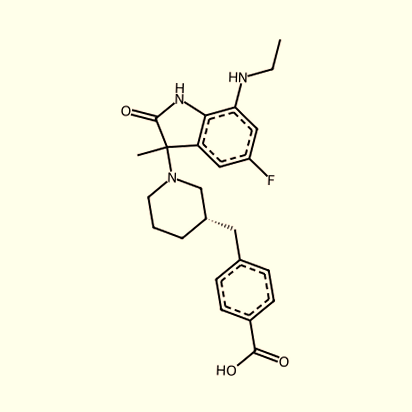 CCNc1cc(F)cc2c1NC(=O)C2(C)N1CCC[C@@H](Cc2ccc(C(=O)O)cc2)C1